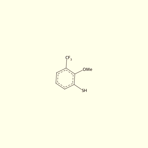 COc1c(S)cccc1C(F)(F)F